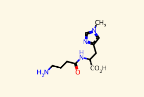 Cn1cnc(CC(NC(=O)CCCN)C(=O)O)c1